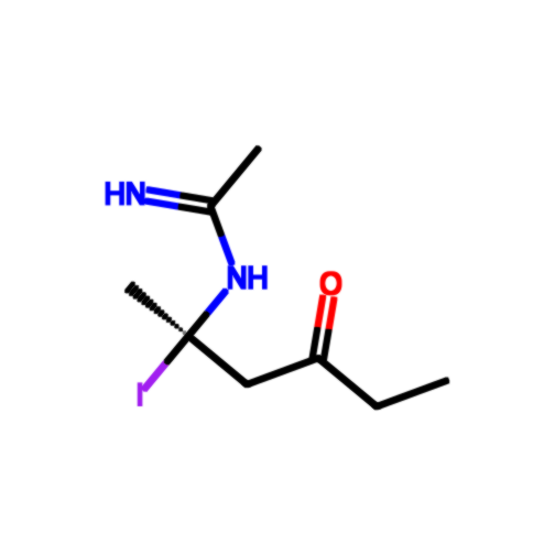 CCC(=O)C[C@@](C)(I)NC(C)=N